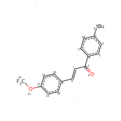 CC(C)(C)c1ccc(C(=O)C=Cc2ccc(OC(F)(F)F)cc2)cc1